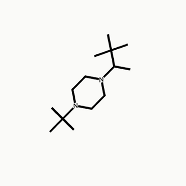 CC(N1CCN(C(C)(C)C)CC1)C(C)(C)C